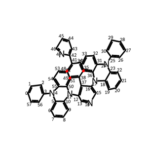 c1ccc(N2c3ccccc3N(c3cncc(N4c5ccccc5N(c5ccccc5)c5ccccc54)c3-c3ccc(-c4ccccn4)cc3)c3ccccc32)cc1